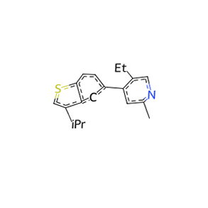 CCc1cnc(C)cc1-c1ccc2scc(C(C)C)c2c1